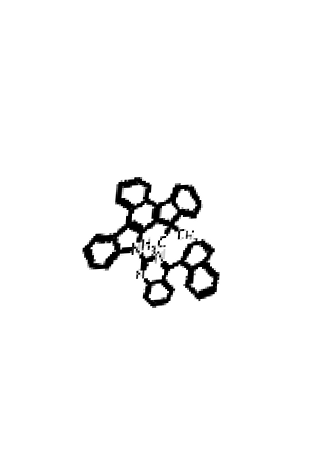 CC1(C)c2ccccc2-c2c1c1c(c3ccccc23)c2ccccc2n1-c1nc(-c2cccc3ccccc23)c2ccccc2n1